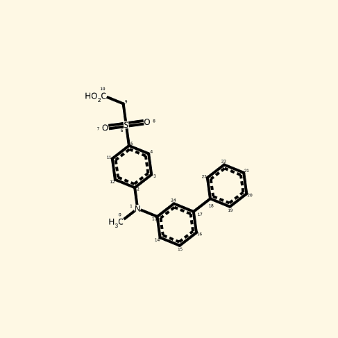 CN(c1ccc(S(=O)(=O)CC(=O)O)cc1)c1cccc(-c2ccccc2)c1